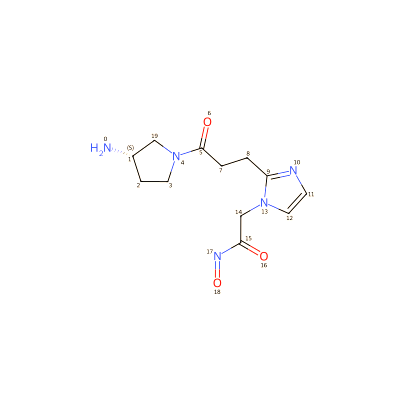 N[C@H]1CCN(C(=O)CCc2nccn2CC(=O)N=O)C1